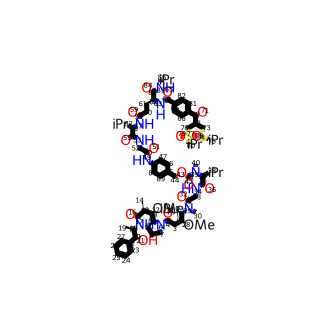 CC[C@H](C)[C@H]([C@@H](CC(=O)N1CCC[C@H]1[C@H](OC)[C@@H](C)C(=O)N[C@H](C)[C@@H](O)c1ccccc1)OC)N(C)C(=O)CNC(=O)C(C(C)C)N(C)C(=O)OCc1ccc(NC(=O)CNC(=O)C(NC(=O)CC[C@H](NC(=O)c2ccc(C(=O)C(CSC(C)C)CS(=O)(=O)C(C)C)cc2)C(=O)NC(C)C)C(C)C)cc1